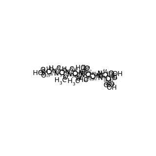 COc1cc(N=Nc2ccc(S(=O)(=O)O)cc2)c(C)cc1N=Nc1cc(OC)c(N=Nc2c(S(=O)(=O)O)cc3cc(-n4nc5ccc6c(S(=O)(=O)O)cc(S(=O)(=O)O)cc6c5n4)ccc3c2O)cc1C